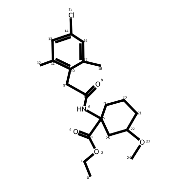 CCOC(=O)C1(NC(=O)Cc2c(C)cc(Cl)cc2C)CCCC(OC)C1